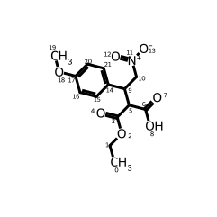 CCOC(=O)C(C(=O)O)C(C[N+](=O)[O-])c1ccc(OC)cc1